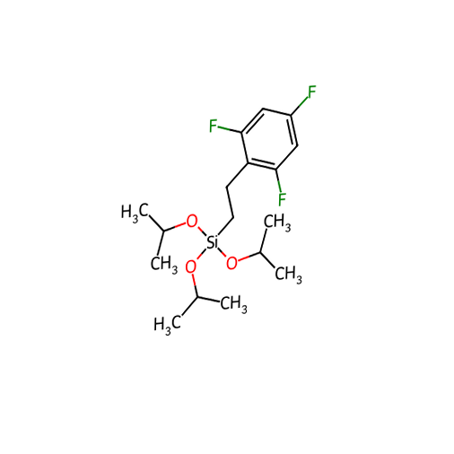 CC(C)O[Si](CCc1c(F)cc(F)cc1F)(OC(C)C)OC(C)C